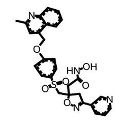 Cc1cc(COc2ccc(S(=O)(=O)CC3(CC(=O)NO)CC(c4cccnc4)=NO3)cc2)c2ccccc2n1